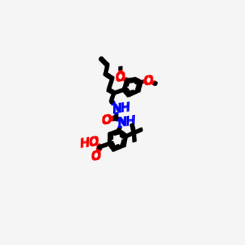 CCCCCC(CNC(=O)Nc1cc(C(=O)O)ccc1C(C)(C)C)c1ccc(OC)cc1OC